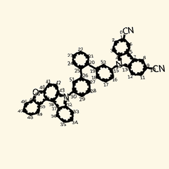 N#Cc1ccc2c(c1)c1cc(C#N)ccc1n2-c1cccc(-c2ccccc2-c2cccc(-n3c4ccccc4c4c5c(ccc43)oc3ccccc35)c2)c1